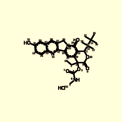 CCC1(OC(=O)NC)C(=O)OC([Si](C)(C)C(C)(C)C)c2c1cc1n(c2=O)Cc2cc3cc(O)ccc3nc2-1.Cl